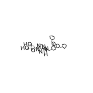 OC[C@H]1O[C@@H](n2cnc3c(N/N=C/c4ccc(OCc5ccccc5)c(OCc5ccccc5)c4)ncnc32)CC1O